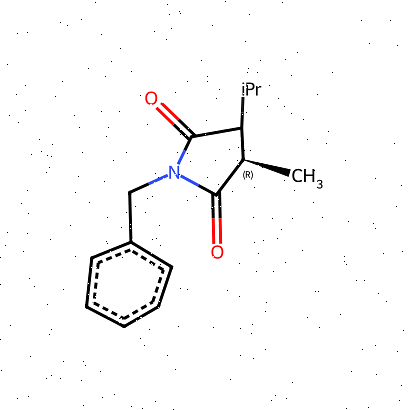 CC(C)C1C(=O)N(Cc2ccccc2)C(=O)[C@@H]1C